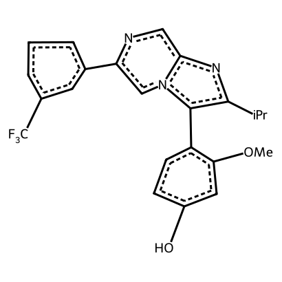 COc1cc(O)ccc1-c1c(C(C)C)nc2cnc(-c3cccc(C(F)(F)F)c3)cn12